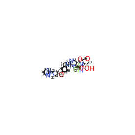 O=C(NC1(C(=O)O)CCOCC1)c1cnc(N2CCc3cc(OC4CCN(c5ncccn5)CC4)ccc32)nc1C(F)(F)F